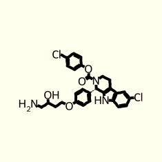 NCC(O)CCOc1ccc([C@H]2c3[nH]c4ccc(Cl)cc4c3CCN2C(=O)Oc2ccc(Cl)cc2)cc1